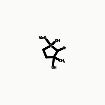 CO[P]1(O)CCC(C)(O)C1Br